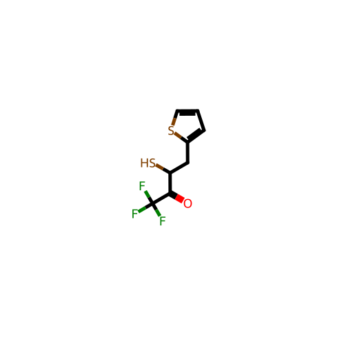 O=C(C(S)Cc1cccs1)C(F)(F)F